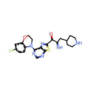 N=C(CC1CCNCC1)C(=O)c1nc2c(N3CCOc4cc(F)ccc43)ncnc2s1